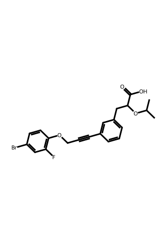 CC(C)OC(Cc1cccc(C#CCOc2ccc(Br)cc2F)c1)C(=O)O